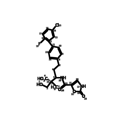 C[C@](CO)(C(=O)O)C(CCc1ccc(-c2cc(Cl)ccc2F)cc1)NC(=O)c1c[nH]c(=O)o1